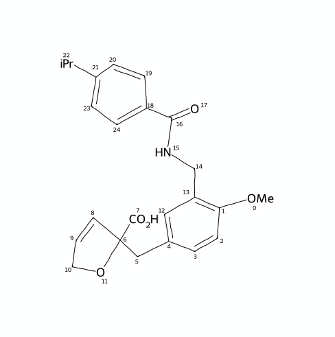 COc1ccc(CC2(C(=O)O)C=CCO2)cc1CNC(=O)c1ccc(C(C)C)cc1